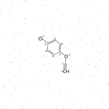 C#COc1ccc(Cl)cc1